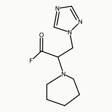 O=C(F)C(Cn1cncn1)N1CCCCC1